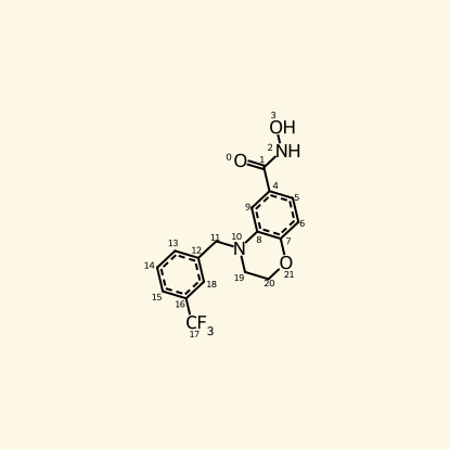 O=C(NO)c1ccc2c(c1)N(Cc1cccc(C(F)(F)F)c1)CCO2